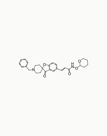 O=C(/C=C/c1ccc2c(c1)C(=O)C1(CCN(Cc3ccccc3)CC1)O2)NOC1CCCCO1